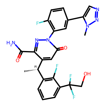 C[C@H](c1cc(=O)n(-c2cc(-c3cnnn3C)ccc2F)nc1C(N)=O)c1cccc(C(F)(F)CO)c1F